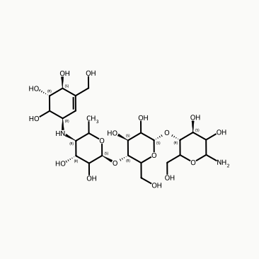 CC1O[C@@H](O[C@H]2C(CO)O[C@@H](O[C@H]3C(CO)OC(N)C(O)[C@@H]3O)C(O)[C@@H]2O)C(O)[C@H](O)[C@H]1N[C@@H]1C=C(CO)[C@H](O)[C@@H](O)C1O